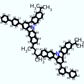 CC(C)c1ccc2cc3c(cc2c1)c1cc(-c2ccc(-c4ccccc4)cc2)cc2c4cc5cc(C(C)CCC(C)c6ccc7cc8c(cc7c6)c6cc(-c7cccc(-c9ccccc9)c7)cc7c9cc%10cc(C(C)C)ccc%10cc9n8c76)ccc5cc4n3c12